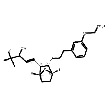 CCCCC(C)(C)C(O)/C=C/[C@@H]1[C@H](CCCc2cccc(OCC(=O)O)c2)[C@@H]2CC[C@H]1O2